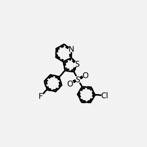 O=S(=O)(c1cccc(Cl)c1)c1sc2ncccc2c1-c1ccc(F)cc1